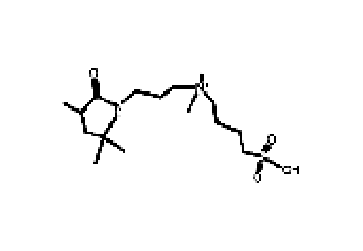 CC(CC(C)(C)C)C(=O)NCCC[N+](C)(C)CCCCS(=O)(=O)O